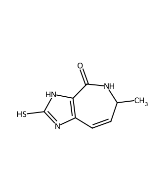 CC1C=Cc2nc(S)[nH]c2C(=O)N1